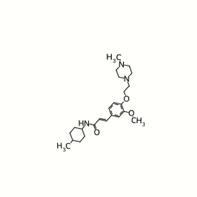 COc1cc(C=CC(=O)NC2CCC(C)CC2)ccc1OCCN1CCN(C)CC1